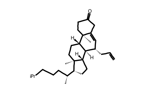 C=CC[C@H]1C=C2CC(=O)CC[C@]2(C)[C@H]2CC[C@]3(C)[C@@H]([C@H](C)CCCC(C)C)CC[C@H]3[C@H]12